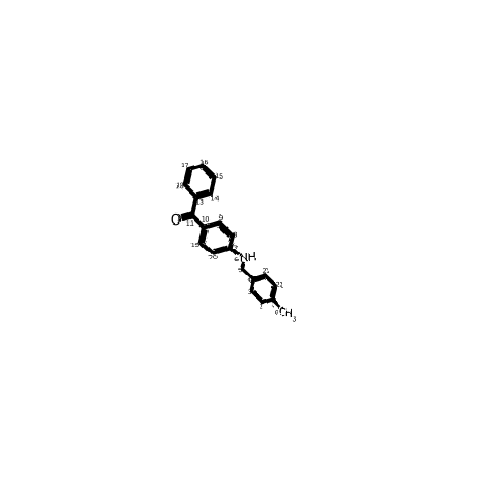 Cc1ccc(CNc2ccc(C(=O)c3ccccc3)cc2)cc1